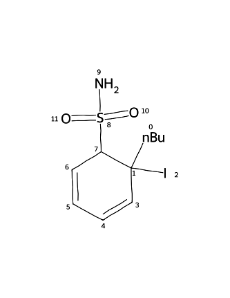 CCCCC1(I)C=CC=CC1S(N)(=O)=O